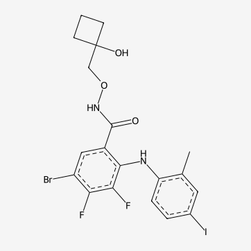 Cc1cc(I)ccc1Nc1c(C(=O)NOCC2(O)CCC2)cc(Br)c(F)c1F